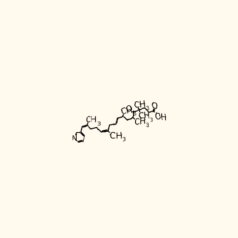 CC(=Cc1cccnc1)CCC=C(C)CCCC(C)CC(C)C(=O)C(C)(C)CCC(=O)O